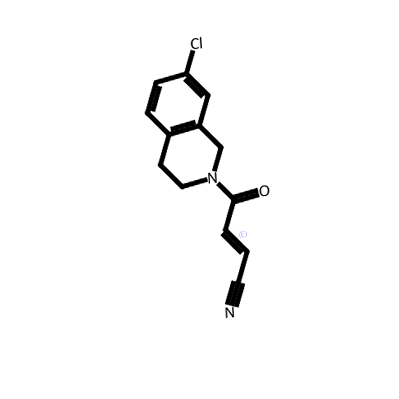 N#C/C=C/C(=O)N1CCc2ccc(Cl)cc2C1